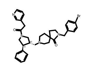 O=C(Cc1cccnc1)N1C[C@H](CN2CCC3(CC2)CCN(Cc2ccc(Br)cc2)C3=O)[C@@H](c2ccccc2)C1